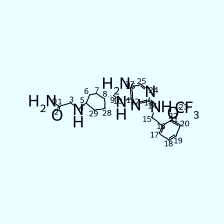 NC(=O)CN[C@H]1CC[C@H](CNc2nc(NCc3ccccc3OC(F)(F)F)ncc2N)CC1